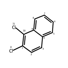 Clc1[c]cc2ccccc2c1Cl